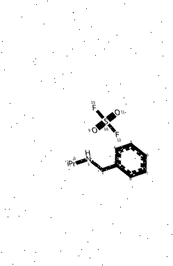 CC(C)NCc1ccccc1.O=S(=O)(F)F